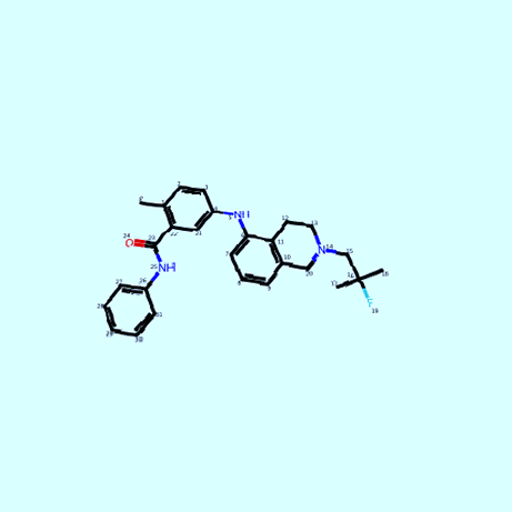 Cc1ccc(Nc2cccc3c2CCN(CC(C)(C)F)C3)cc1C(=O)Nc1ccccc1